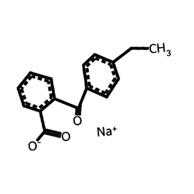 CCc1ccc(C(=O)c2ccccc2C(=O)[O-])cc1.[Na+]